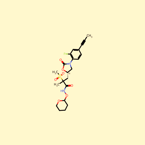 CC#Cc1ccc(N2C[C@H](CC(C)(C(=O)NOC3CCCCO3)S(C)(=O)=O)OC2=O)c(F)c1